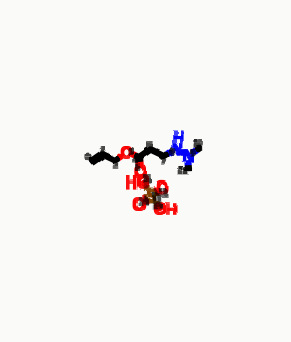 C=CCOC(=O)CCNN(C)C.O=S(=O)(O)O